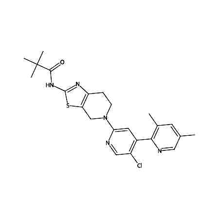 Cc1cnc(-c2cc(N3CCc4nc(NC(=O)C(C)(C)C)sc4C3)ncc2Cl)c(C)c1